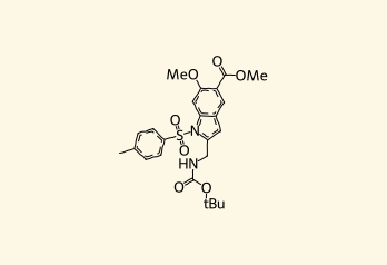 COC(=O)c1cc2cc(CNC(=O)OC(C)(C)C)n(S(=O)(=O)c3ccc(C)cc3)c2cc1OC